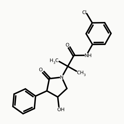 CC(C)(C(=O)Nc1cccc(Cl)c1)N1CC(O)C(c2ccccc2)C1=O